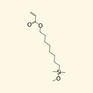 C=CC(=O)OCCCCCCCC[Si](C)(C)OC